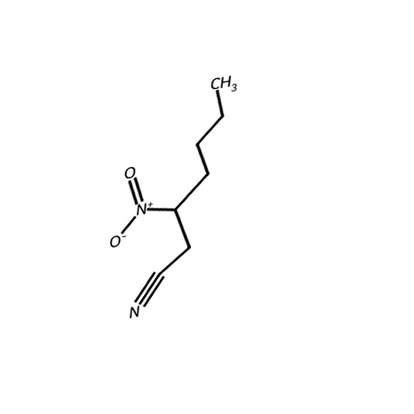 CCCCC(CC#N)[N+](=O)[O-]